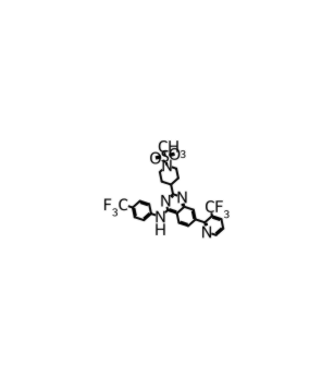 CS(=O)(=O)N1CCC(c2nc(Nc3ccc(C(F)(F)F)cc3)c3ccc(-c4ncccc4C(F)(F)F)cc3n2)CC1